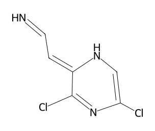 N=C/C=C1\NC=C(Cl)N=C1Cl